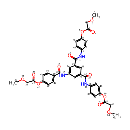 COCC(=O)Oc1ccc(NC(=O)c2cc(NC(=O)c3ccc(OC(=O)COC)cc3)cc(C(=O)Nc3ccc(OC(=O)COC)cc3)c2)cc1